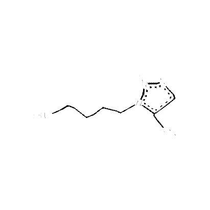 N#Cc1cnnn1CCCCC=O